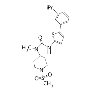 CC(C)c1cccc(-c2ccc(NC(=O)N(C)C3CCN(S(C)(=O)=O)CC3)s2)c1